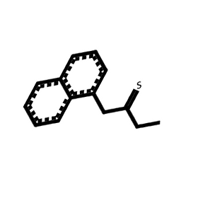 CCC(=S)Cc1cccc2ccccc12